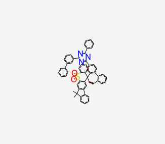 CC1(C)c2ccccc2-c2cc3c(cc21)S(=O)(=O)c1ccccc1C31c2ccccc2-c2ccccc2-c2ccc(-c3nc(-c4ccccc4)nc(-c4cccc(-c5ccccc5)c4)n3)cc21